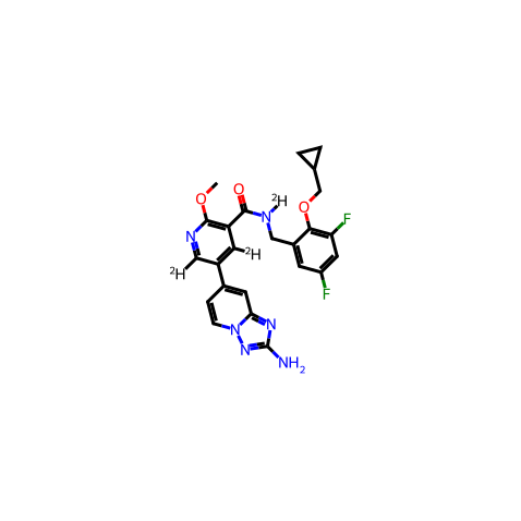 [2H]c1nc(OC)c(C(=O)N([2H])Cc2cc(F)cc(F)c2OCC2CC2)c([2H])c1-c1ccn2nc(N)nc2c1